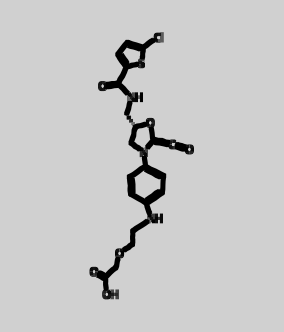 O=C=C1O[C@@H](CNC(=O)c2ccc(Cl)s2)CN1c1ccc(NCCOCC(=O)O)cc1